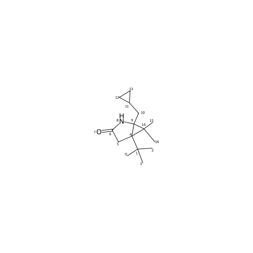 CC(C)(C)C12CC(=O)NC1(CC1CC1)C2(C)C